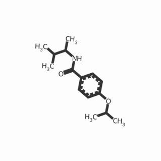 CC(C)Oc1ccc(C(=O)NC(C)C(C)C)cc1